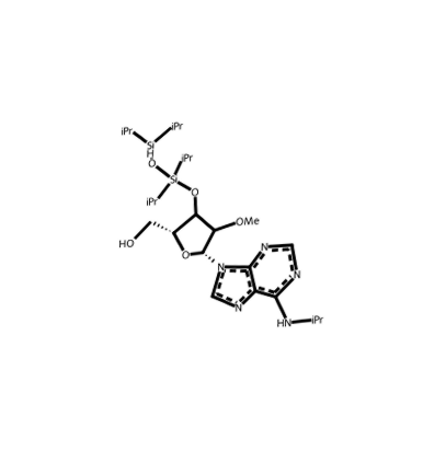 COC1C(O[Si](O[SiH](C(C)C)C(C)C)(C(C)C)C(C)C)[C@@H](CO)O[C@H]1n1cnc2c(NC(C)C)ncnc21